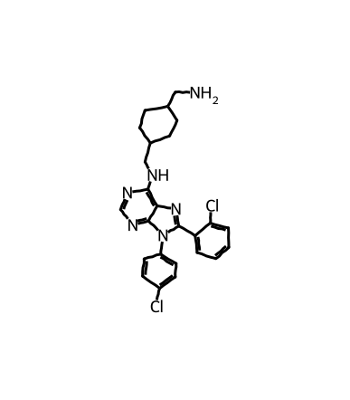 NCC1CCC(CNc2ncnc3c2nc(-c2ccccc2Cl)n3-c2ccc(Cl)cc2)CC1